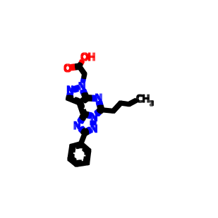 CCCCc1nc2c(cnn2CC(=O)O)c2nc(-c3ccccc3)nn12